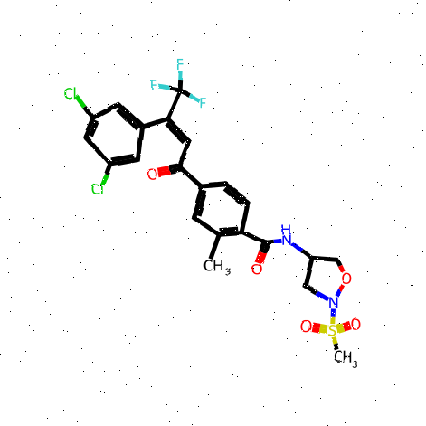 Cc1cc(C(=O)/C=C(\c2cc(Cl)cc(Cl)c2)C(F)(F)F)ccc1C(=O)NC1CON(S(C)(=O)=O)C1